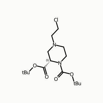 CC(C)(C)OC(=O)[C@@H]1CN(CCCl)CCN1C(=O)OC(C)(C)C